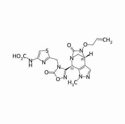 C=CCON1C(=O)N2C[C@H]1c1cnn(C)c1[C@H]2c1noc(=O)n1Cc1nc(NC(=O)O)cs1